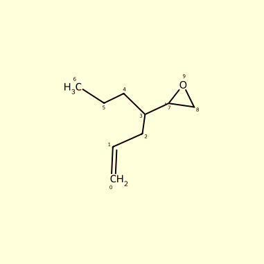 C=CCC(CCC)[C]1CO1